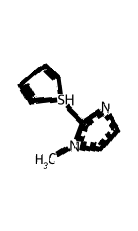 Cn1ccnc1[SH]1C=CC=C1